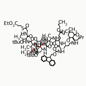 C=CCOC(=O)CCC(NC(=O)[C@H](C)NC(=O)C(CCC(=O)OCC=C)NC(=O)[C@H](CCCCNC(CC(C)C)=C1C(=O)CC(C)(C)CC1=O)NC(=O)OCC1c2ccccc2-c2ccccc21)C(=O)N[C@@H](CC(=O)OC(C)(C)C)C(=O)NC(C(=O)N[C@H](C(=O)NC(C(=O)NCC(=O)SCCC(=O)OCC)[C@@H](C)OC(C)(C)C)C(C)OC(C)(C)C)[C@H](C)CC